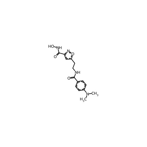 CN(C)c1ccc(C(=O)NCCc2cc(C(=O)NO)no2)cc1